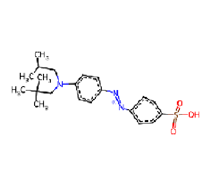 CC(C)CN(CC(C)(C)C)c1ccc(/N=N/c2ccc(S(=O)(=O)O)cc2)cc1